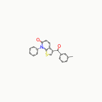 Cc1cccc(C(=O)c2csc3c2ccc(=O)n3-c2ccccc2)c1